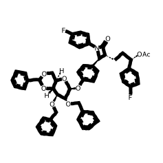 CC(=O)O[C@@H](CC[C@H]1C(=O)N(c2ccc(F)cc2)[C@@H]1c1ccc(O[C@@H]2O[C@@H]3COC(c4ccccc4)O[C@H]3[C@H](OCc3ccccc3)[C@H]2OCc2ccccc2)cc1)c1ccc(F)cc1